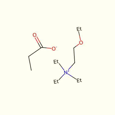 CCC(=O)[O-].CCOCC[N+](CC)(CC)CC